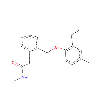 CCc1cc(C)ccc1OCc1ccccc1CC(=O)NC